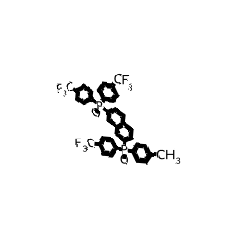 Cc1ccc(P(=O)(c2ccc(C(F)(F)F)cc2)c2ccc3ccc(P(=O)(c4ccc(C(F)(F)F)cc4)c4ccc(C(F)(F)F)cc4)cc3c2)cc1